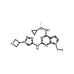 C[C@H](Nc1nc(Nc2cn(C3COC3)nn2)nc2c1ccn2SI)C1CC1